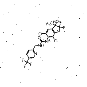 CC1(O)c2cc(Cl)c(NC(=O)NCc3ccc(C(F)(F)F)cn3)c(Cl)c2CC1(F)F